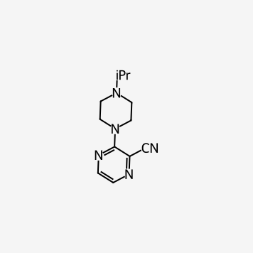 CC(C)N1CCN(c2nccnc2C#N)CC1